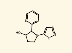 OC1CCN(c2cnno2)C1c1ccccn1